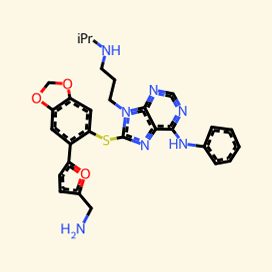 CC(C)NCCCn1c(Sc2cc3c(cc2-c2ccc(CN)o2)OCO3)nc2c(Nc3ccccc3)ncnc21